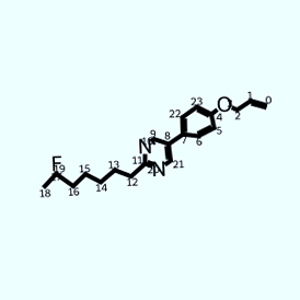 C=CCOc1ccc(-c2cnc(CCCCCC(C)F)nc2)cc1